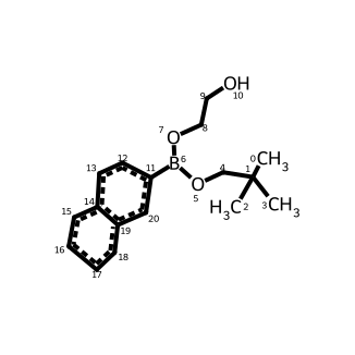 CC(C)(C)COB(OCCO)c1ccc2ccccc2c1